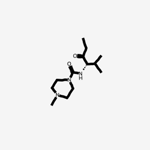 CCC(=O)[C@@H](NC(=O)N1CCN(C)CC1)C(C)C